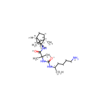 CC(C)(NC(=O)NC(CCCCN)C(=O)O)C(=O)N[C@H]1C[C@H]2CC[C@]1(C)C2(C)C